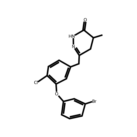 CC1CC(Cc2ccc(Cl)c(Oc3cccc(Br)c3)c2)=NNC1=O